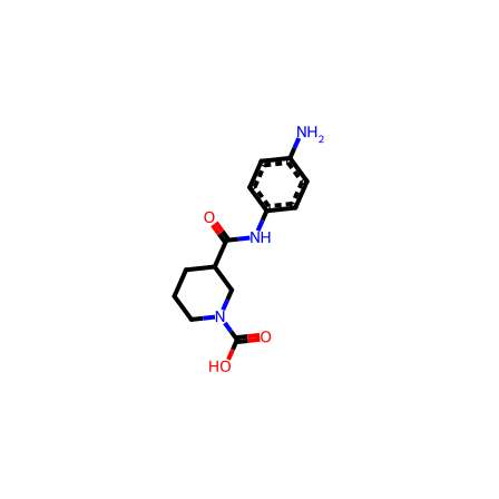 Nc1ccc(NC(=O)C2CCCN(C(=O)O)C2)cc1